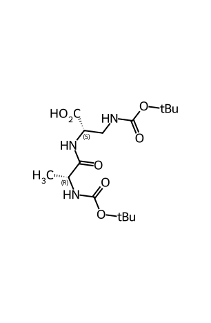 C[C@@H](NC(=O)OC(C)(C)C)C(=O)N[C@@H](CNC(=O)OC(C)(C)C)C(=O)O